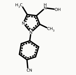 Cc1nn(-c2ccc(C#N)cc2)c(C)c1NO